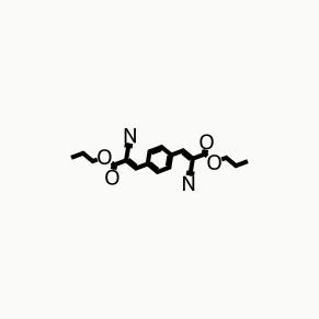 CCCOC(=O)/C(C#N)=C/c1ccc(/C=C(\C#N)C(=O)OCCC)cc1